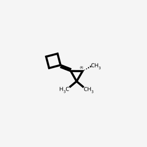 C[C@H]1C(=C2CCC2)C1(C)C